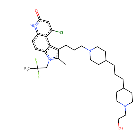 Cc1c(CCCN2CCC(CCCC3CCN(CCO)CC3)CC2)c2c3c(Cl)cc(=O)[nH]c3ccc2n1CC(F)(F)C(F)(F)F